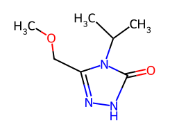 COCc1n[nH]c(=O)n1C(C)C